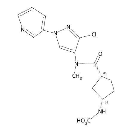 CN(C(=O)[C@@H]1CC[C@H](NC(=O)O)C1)c1cn(-c2cccnc2)nc1Cl